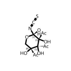 CC(=O)[C@@]1(O)[C@](O)(C(C)=O)[C@@](O)(C(C)=O)CO[C@]1(O)N=C=S